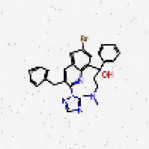 CN(C)CCC(O)(c1ccccc1)c1cc(Br)cc2cc(Cc3ccccc3)c(-n3cncn3)nc12